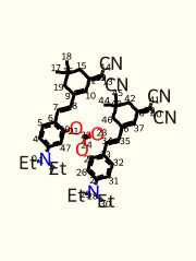 CCN(CC)c1ccc(C=CC2=CC(=C(C#N)C#N)CC(C)(C)C2)c(OC(=O)Oc2cc(N(CC)CC)ccc2C=CC2=CC(=C(C#N)C#N)CC(C)(C)C2)c1